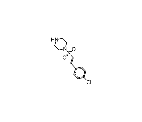 O=S(=O)(/C=C/c1ccc(Cl)cc1)N1CCNCC1